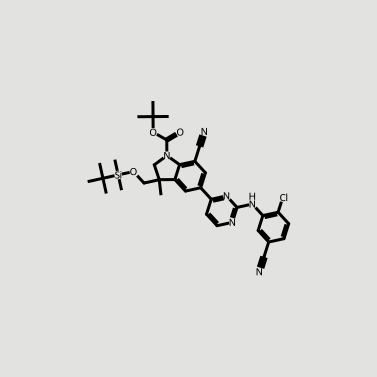 CC(C)(C)OC(=O)N1CC(C)(CO[Si](C)(C)C(C)(C)C)c2cc(-c3ccnc(Nc4cc(C#N)ccc4Cl)n3)cc(C#N)c21